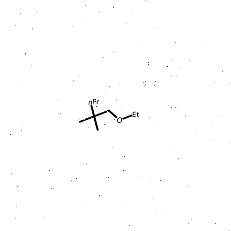 CCCC(C)(C)COCC